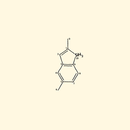 CC1=Cc2cc(C)ccc2[SiH2]1